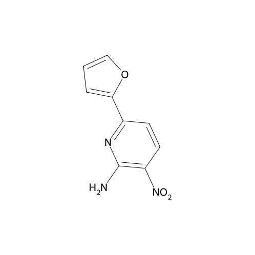 Nc1nc(-c2ccco2)ccc1[N+](=O)[O-]